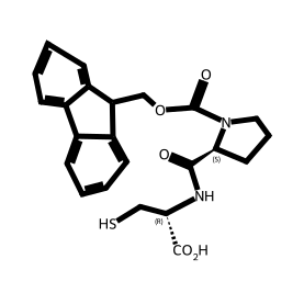 O=C(O)[C@H](CS)NC(=O)[C@@H]1CCCN1C(=O)OCC1c2ccccc2-c2ccccc21